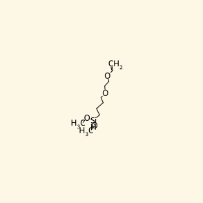 C=COCCOCCCC[SiH](OC)OC